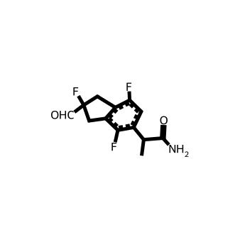 CC(C(N)=O)c1cc(F)c2c(c1F)CC(F)(C=O)C2